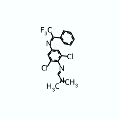 CN(C)C=Nc1c(Cl)cc(N=C(c2ccccc2)C(F)(F)F)cc1Cl